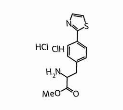 COC(=O)C(N)Cc1ccc(-c2nccs2)cc1.Cl.Cl